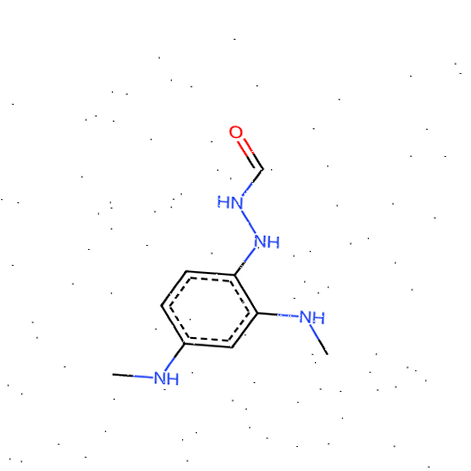 CNc1ccc(NNC=O)c(NC)c1